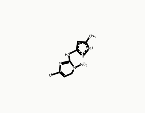 Cc1cc(NC2=NC(Cl)=CCN2[N+](=O)[O-])n[nH]1